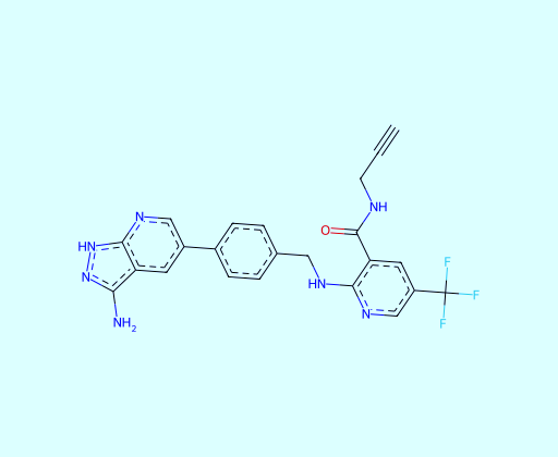 C#CCNC(=O)c1cc(C(F)(F)F)cnc1NCc1ccc(-c2cnc3[nH]nc(N)c3c2)cc1